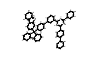 c1ccc(-c2ccc(-c3nc(-c4ccccc4)nc(-c4cccc(-c5ccc(C6(c7ccc8c(c7)oc7ccccc78)c7ccccc7-c7ccccc76)cc5)c4)n3)cc2)cc1